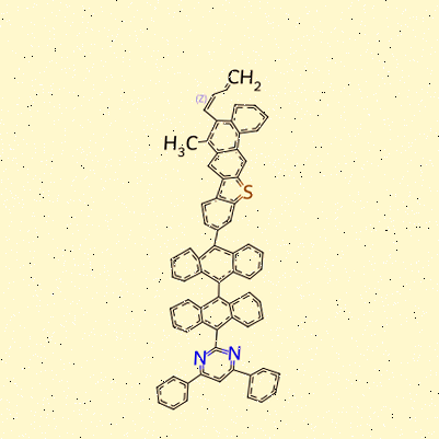 C=C/C=C\c1c(C)c2cc3c(cc2c2ccccc12)sc1cc(-c2c4ccccc4c(-c4c5ccccc5c(-c5nc(-c6ccccc6)cc(-c6ccccc6)n5)c5ccccc45)c4ccccc24)ccc13